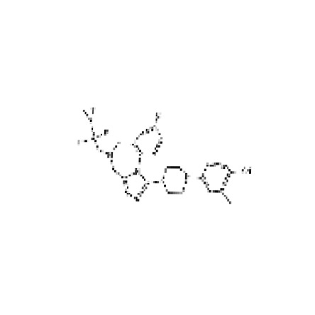 Cc1nc(N2CCC(c3nnc4n3-c3ccc(Cl)cc3CN(CC(F)(F)C3CC3)C4)CC2)ccc1C#N